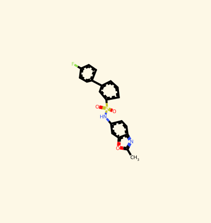 Cc1nc2ccc(NS(=O)(=O)c3cccc(-c4ccc(F)cc4)c3)cc2o1